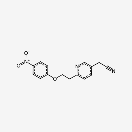 N#CCc1ccc(CCOc2ccc([N+](=O)[O-])cc2)nc1